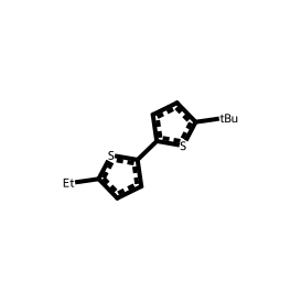 CCc1ccc(-c2ccc(C(C)(C)C)s2)s1